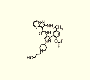 Cc1ccc(OC(F)F)c(-c2nn(C3CCN(CCCO)CC3)cc2NC(=O)c2c(N)nn3cccnc23)c1